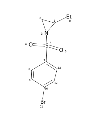 CCC1CN1S(=O)(=O)c1ccc(Br)cc1